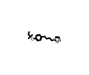 CCC(C)(C)Oc1ccc(CCCCn2ccnn2)cc1